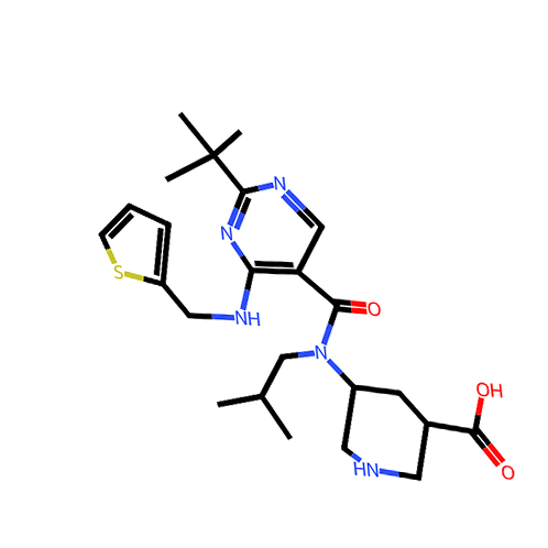 CC(C)CN(C(=O)c1cnc(C(C)(C)C)nc1NCc1cccs1)C1CNCC(C(=O)O)C1